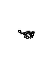 COc1ccc2nccc([C@H](CC[C@@H]3CCN(CCSC4CCCCC4)C[C@@H]3CC(=O)O)NO)c2c1